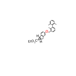 CCOC(=O)[C@H]1[C@@H]2Cc3cc(OCc4cccc(-c5c(C)cccc5C)c4C)ccc3[C@@H]21